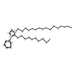 CCCCCCCCCCCCCCCC[n+]1ccn(-c2ccccc2)c1CCCCCCCCCC